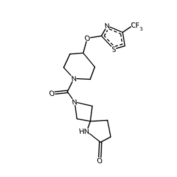 O=C1CCC2(CN(C(=O)N3CCC(Oc4nc(C(F)(F)F)cs4)CC3)C2)N1